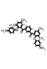 Cc1cc(C)c(Oc2ccc(N)cc2)c(C(=O)c2cccc(C(=O)c3cc(C)cc(C)c3Oc3ccc(N)cc3)c2)c1